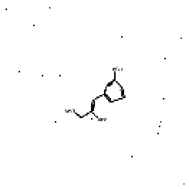 CCCCc1cccc(/C=C(\CCC)COC(C)=O)c1